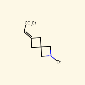 CCOC(=O)C=C1CC2(C1)CN(CC)C2